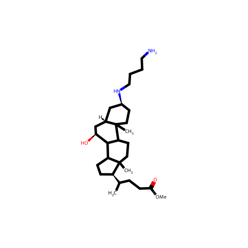 COC(=O)CCC(C)[C@H]1CCC2C3C(CCC21C)C1(C)CC[C@H](NCCCCN)C[C@@H]1C[C@@H]3O